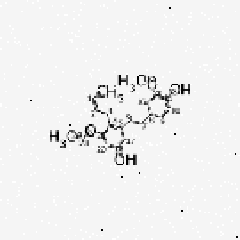 C/C=C\Cc1c(/C=C/c2ccc(O)c(OC)c2)cc(O)cc1OCC